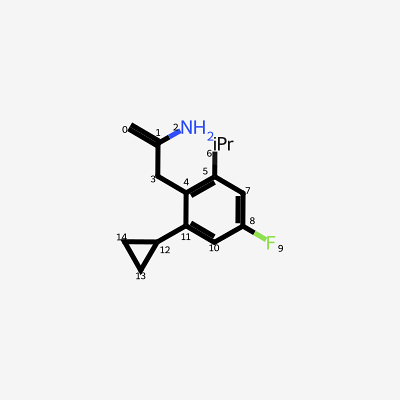 C=C(N)Cc1c(C(C)C)cc(F)cc1C1CC1